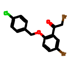 O=C(CBr)c1cc(Br)ccc1OCc1ccc(Cl)cc1